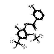 Nc1cccc(C(=O)Nc2c(Br)cc(C(F)(C(F)(F)F)C(F)(F)F)cc2SC(F)(F)C(F)(F)F)c1